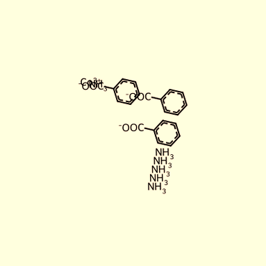 N.N.N.N.N.N.O=C([O-])c1ccccc1.O=C([O-])c1ccccc1.O=C([O-])c1ccccc1.[Co+3]